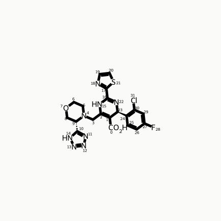 O=C(O)C1=C(CN2CCOC[C@H]2c2nnn[nH]2)NC(c2nccs2)=N[C@H]1c1ccc(F)cc1Cl